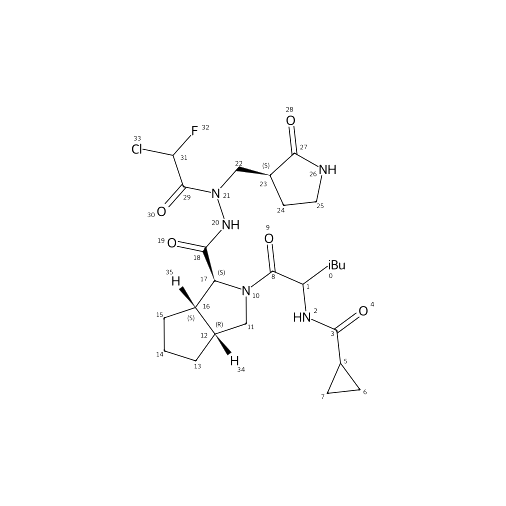 CCC(C)C(NC(=O)C1CC1)C(=O)N1C[C@@H]2CCC[C@@H]2[C@H]1C(=O)NN(C[C@@H]1CCNC1=O)C(=O)C(F)Cl